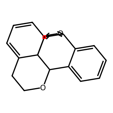 C1=CCC23C(=C1)CCOC2c1ccccc1C1=COCC=C13